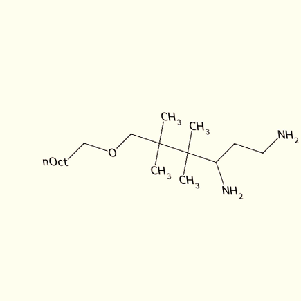 CCCCCCCCCOCC(C)(C)C(C)(C)C(N)CCN